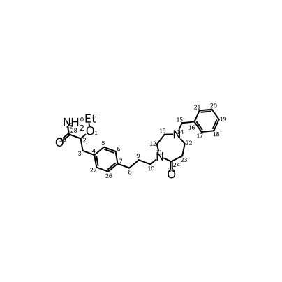 CCOC(Cc1ccc(CCCN2CCN(Cc3ccccc3)CCC2=O)cc1)C(N)=O